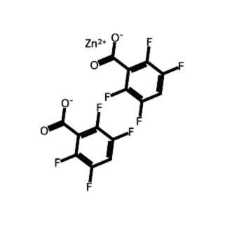 O=C([O-])c1c(F)c(F)cc(F)c1F.O=C([O-])c1c(F)c(F)cc(F)c1F.[Zn+2]